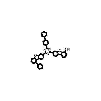 N#Cc1cccc2c1oc1cc(-c3nc(-c4ccc(-c5ccccc5)cc4)nc(-c4ccc5c(c4)oc4cccc(-c6ccccc6)c45)n3)ccc12